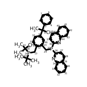 CC(C)(c1ccccc1)c1ccc(CP(C(C)(C)C)C(C)(C)C)c(CP(c2ccc3ccccc3n2)c2ccc3ccccc3n2)c1